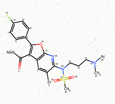 CCc1cc2c(C(=O)NC)c(-c3ccc(F)cc3)oc2nc1N(CCCN(C)C(C)=O)S(C)(=O)=O